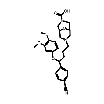 COc1ccc(OC(CCCN2CC3CN(C(=O)O)CC(C2)O3)c2ccc(C#N)cc2)cc1OC